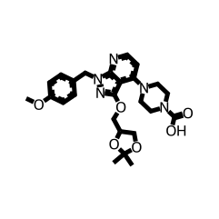 COc1ccc(Cn2nc(OCC3COC(C)(C)O3)c3c(N4CCN(C(=O)O)CC4)ccnc32)cc1